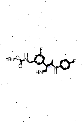 C/C(Nc1ccc(F)cc1)=C(/C=N)c1cc(F)cc(CNC(=O)OC(C)(C)C)c1